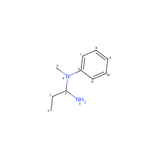 CCC(N)N(C)c1ccccc1